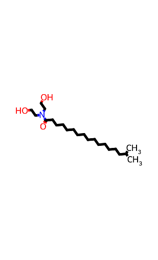 CC(C)CCCCCCCCCCCCCCC(=O)N(CCO)CCO